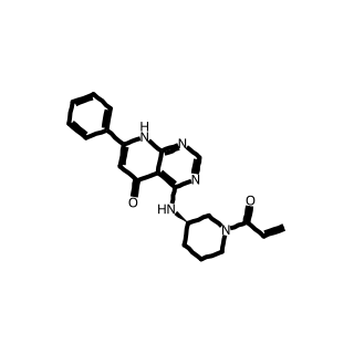 C=CC(=O)N1CCC[C@@H](Nc2ncnc3[nH]c(-c4ccccc4)cc(=O)c23)C1